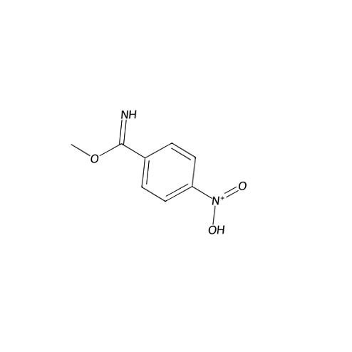 COC(=N)c1ccc([N+](=O)O)cc1